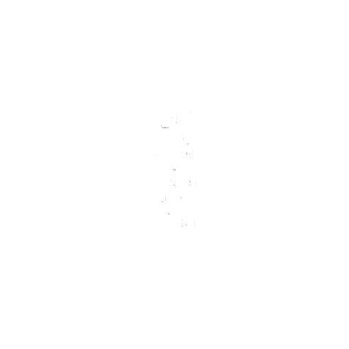 CCN(CC)C(=O)[C@@H]1C=C2c3cccc4c3c(c(Br)n4C(=O)OC(C)OC(=O)[C@@H](N)C(C)C)C[C@H]2N(C)C1